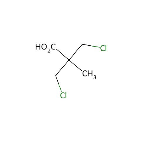 CC(CCl)(CCl)C(=O)O